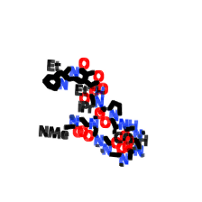 CCc1c2c(nc3ccccc13)-c1cc3c(c(=O)n1C2)COC(=O)[C@@]3(CC)OC(=O)C(NC(=O)[C@@H]1CCCN1C(=O)[C@H](CC(=O)O)NC(=O)CN(C)C(=O)CN(C)C(=O)CN(C)C(=O)CN(C)C(=O)CN(C)C(=O)CN(C)C(=O)CN(C)C(=O)CNC)C(C)C